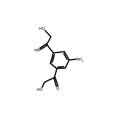 N=C(CO)c1cc(N)cc(C(=O)CO)c1